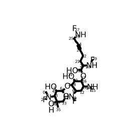 CN(F)C1C(O)C(OC2C(NF)CC(NF)C(OC(O)C(CCC#CCNF)NF)C2O)OCC1(C)O